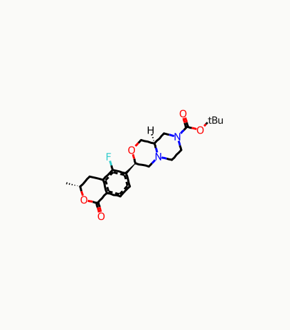 C[C@@H]1Cc2c(ccc([C@@H]3CN4CCN(C(=O)OC(C)(C)C)C[C@@H]4CO3)c2F)C(=O)O1